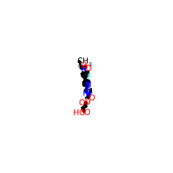 CC[C@H]1CN(c2ccc(-c3ccc(N4C=NN(C(=O)COC(=O)CCC(=O)O)CC4)nc3)c(F)c2)C(=O)O1